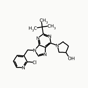 CC(C)(C)c1nc(N2CCC(O)C2)c2ncn(Cc3cccnc3Cl)c2n1